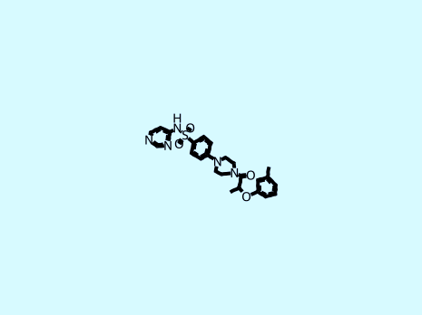 Cc1cccc(OC(C)C(=O)N2CCN(c3ccc(S(=O)(=O)Nc4ccncn4)cc3)CC2)c1